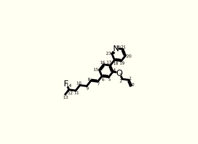 C=CCOc1cc(C=CCCCC(C)F)ccc1-c1cccnc1